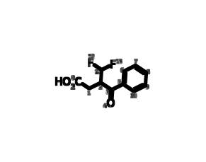 O=C(O)CC(C(=O)c1ccccc1)C(F)F